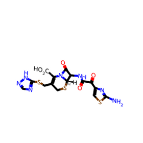 Nc1nc(C(=O)C(=O)NC2C(=O)N3C(C(=O)O)=C(CSc4ncn[nH]4)CS[C@@H]23)cs1